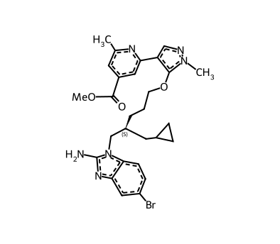 COC(=O)c1cc(C)nc(-c2cnn(C)c2OCCC[C@@H](CC2CC2)Cn2c(N)nc3cc(Br)ccc32)c1